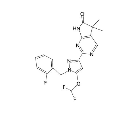 CC1(C)C(=O)Nc2nc(-c3cc(OC(F)F)n(Cc4ccccc4F)n3)ncc21